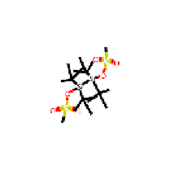 CC(C)(C)[Si](OS(C)(=O)=O)(C(C)(C)C)[Si](OS(C)(=O)=O)(C(C)(C)C)C(C)(C)C